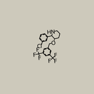 FC(F)(F)c1cc(CO[C@@H]2CCCNC2c2cccc(Cl)c2)cc(C(F)(F)F)c1